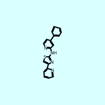 c1ccc(-c2ccnc(Nc3nc(-c4ccccn4)cs3)c2)cc1